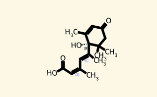 CC1=CC(=O)CC(C)(C)[C@@]1(O)/C(C)=C/C(C)=C\C(=O)O